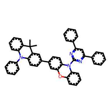 CC1(C)c2ccccc2N(c2ccccc2)c2ccc(-c3ccc4c(c3)Oc3ccccc3N4c3nc(-c4ccccc4)cc(-c4ccccc4)n3)cc21